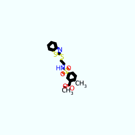 COC(=O)c1cc(S(=O)(=O)NCCSc2nc3ccccc3s2)ccc1C